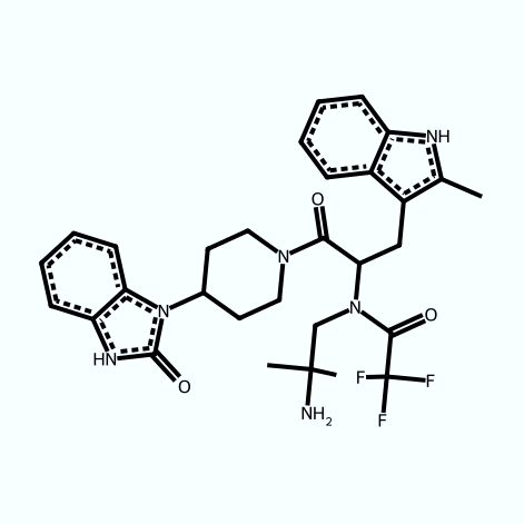 Cc1[nH]c2ccccc2c1CC(C(=O)N1CCC(n2c(=O)[nH]c3ccccc32)CC1)N(CC(C)(C)N)C(=O)C(F)(F)F